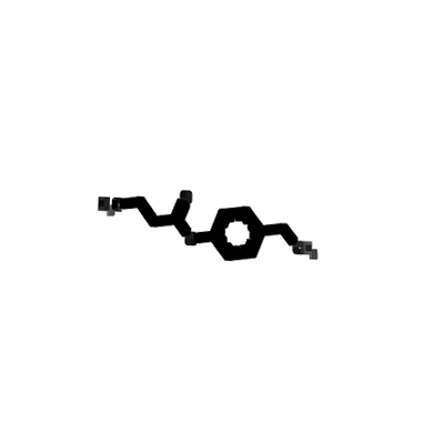 CCCC(=O)Oc1ccc(CC)cc1